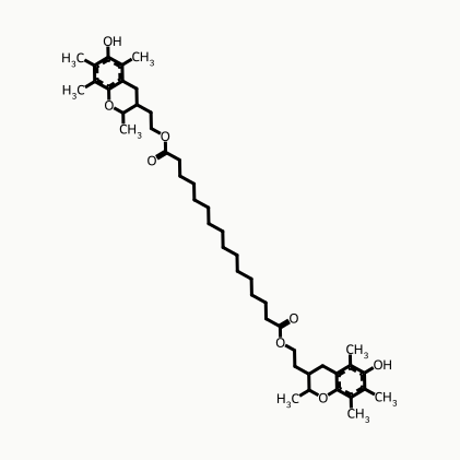 Cc1c(C)c2c(c(C)c1O)CC(CCOC(=O)CCCCCCCCCCCCCCC(=O)OCCC1Cc3c(C)c(O)c(C)c(C)c3OC1C)C(C)O2